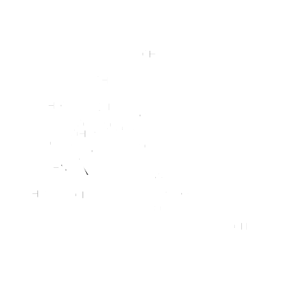 CCCCOC(=O)Oc1ccc(C[C@](NC(C)C)(OC(=O)OC(C)(C)CC)C(=O)O)cc1OC(=O)OCCCC